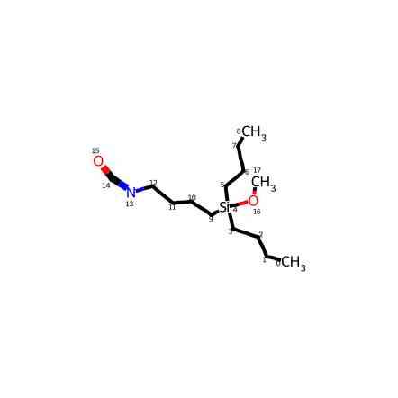 CCCC[Si](CCCC)(CCCCN=C=O)OC